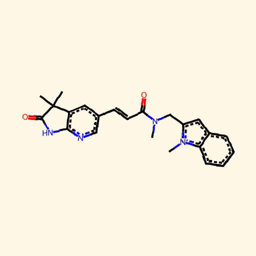 CN(Cc1cc2ccccc2n1C)C(=O)C=Cc1cnc2c(c1)C(C)(C)C(=O)N2